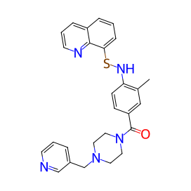 Cc1cc(C(=O)N2CCN(Cc3cccnc3)CC2)ccc1NSc1cccc2cccnc12